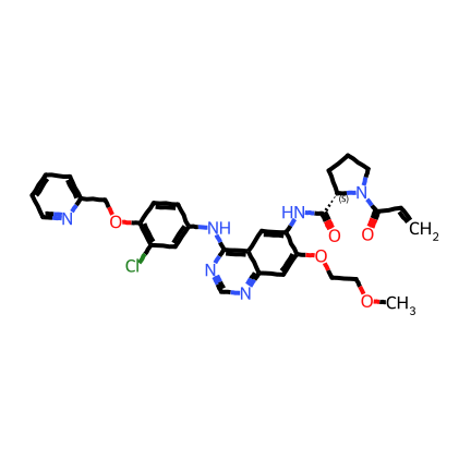 C=CC(=O)N1CCC[C@H]1C(=O)Nc1cc2c(Nc3ccc(OCc4ccccn4)c(Cl)c3)ncnc2cc1OCCOC